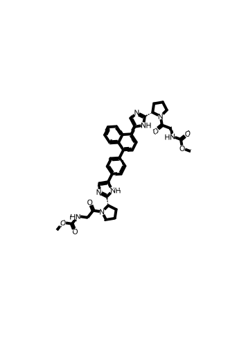 COC(=O)NCC(=O)N1CCC[C@H]1c1ncc(-c2ccc(-c3ccc(-c4cnc([C@@H]5CCCN5C(=O)CNC(=O)OC)[nH]4)c4ccccc34)cc2)[nH]1